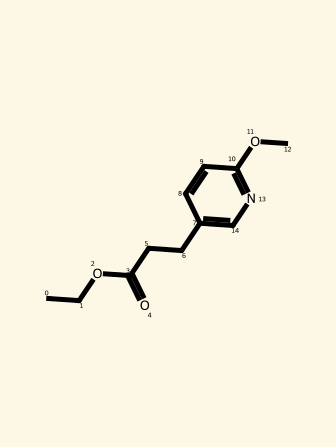 CCOC(=O)CCc1ccc(OC)nc1